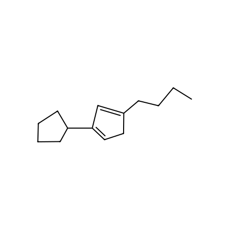 CCCCC1=CC(C2CCCC2)=CC1